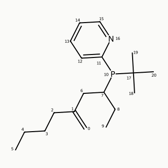 C=C(CCCC)CC(CC)P(c1ccccn1)C(C)(C)C